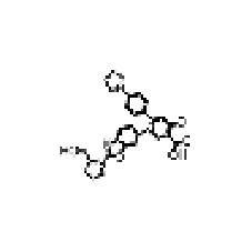 O=C(O)c1cn(-c2ccc3nc(N4CCCC4CO)oc3c2)c(-c2ccc(N3CCCC3)cc2)cc1=O